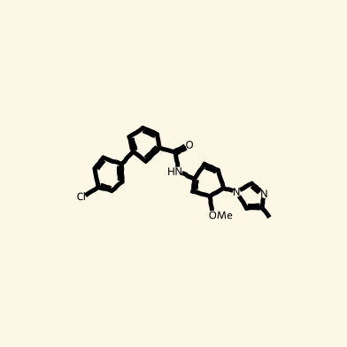 COC1C=C(NC(=O)c2cccc(-c3ccc(Cl)cc3)c2)C=CC1n1cnc(C)c1